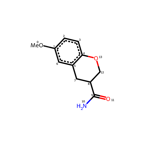 COc1ccc2c(c1)CC(C(N)=O)CO2